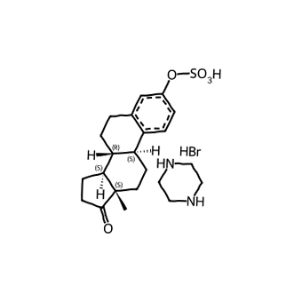 Br.C1CNCCN1.C[C@]12CC[C@@H]3c4ccc(OS(=O)(=O)O)cc4CC[C@H]3[C@@H]1CCC2=O